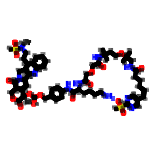 CC[C@@]1(OC(=O)OCc2ccc(NC(=O)[C@H](CCCCN)NC(=O)COCC(=O)NC(C)(C)CCOC(C)(C)CNC(=O)CCC/C=C\c3cnc(S(C)(=O)=O)nc3)cc2)C(=O)OCc2c1cc1n(c2=O)Cc2c-1nc1ccccc1c2CCN(C(C)C)S(C)(=O)=O